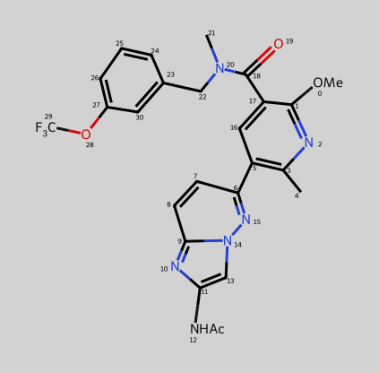 COc1nc(C)c(-c2ccc3nc(NC(C)=O)cn3n2)cc1C(=O)N(C)Cc1cccc(OC(F)(F)F)c1